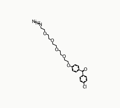 [N-]=[N+]=NCCOCCOCCOCCOCCOc1ccc(C(=O)c2ccc(Cl)cc2)cc1